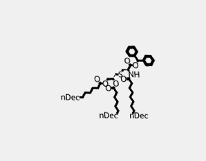 CCCCCCCCCCCCCCCCCC(=O)N[C@@H](CSC[C@@H](COC(=O)CCCCCCCCCCCCCCC)OC(=O)CCCCCCCCCCCCCCC)C(=O)OC(c1ccccc1)c1ccccc1